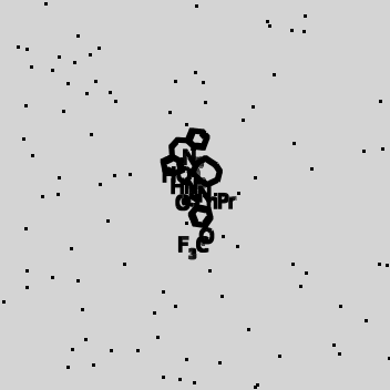 CCCN=S(=O)(N[C@@H]1CCCCC[C@@H](N2c3ccccc3CCc3ccccc32)[C@H]1O)c1ccc(OC(F)(F)F)cc1